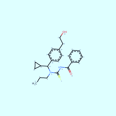 CCCN(C(=S)NC(=O)c1ccccc1)C(c1ccc(CCO)cc1)C1CC1